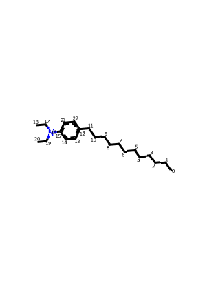 CCCCCCCCCCCCc1ccc(N(CC)CC)cc1